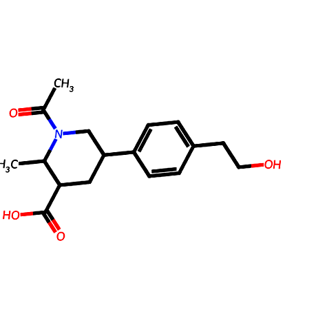 CC(=O)N1CC(c2ccc(CCO)cc2)CC(C(=O)O)C1C